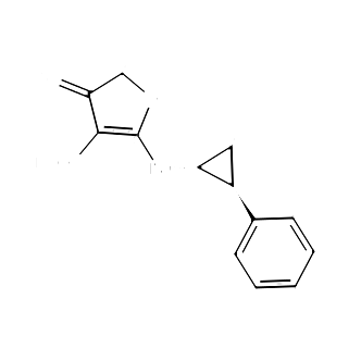 O=C(O)C1=C(N[C@@H]2C[C@H]2c2ccccc2)OCC1=O